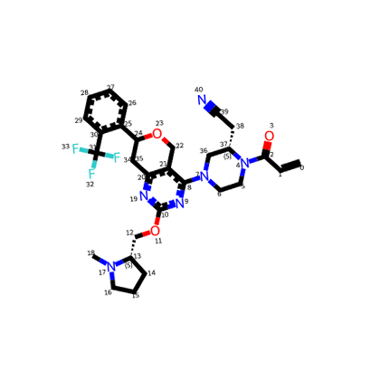 C=CC(=O)N1CCN(c2nc(OC[C@@H]3CCCN3C)nc3c2COC(c2ccccc2C(F)(F)F)C3)C[C@@H]1CC#N